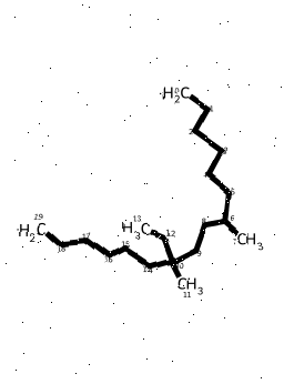 [CH2]CCCCCC(C)CCC(C)(CC)CCCCC[CH2]